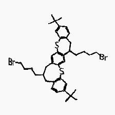 CC(C)(C)c1ccc2c(c1)Sc1cc3c(cc1C[C@H](CCCCBr)C2)Sc1cc(C(C)(C)C)ccc1CC3CCCCBr